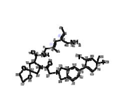 C/C=C(\C=C(/C)CNC(=O)C1CC2(CN1C(=O)CN1Cc3ccc(C4=CCC(C)(F)C=C4F)cc3C1)OCCO2)CN